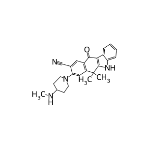 CNC1CCN(c2cc3c(cc2C#N)C(=O)c2c([nH]c4ccccc24)C3(C)C)CC1